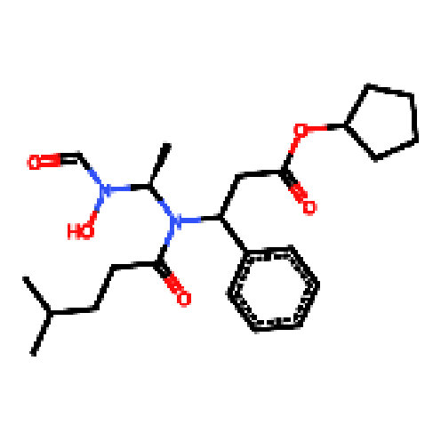 CC(C)CCC(=O)N(C(CC(=O)OC1CCCC1)c1ccccc1)[C@H](C)N(O)C=O